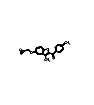 Cc1ccc(C(=O)c2oc3ccc(OCC4CO4)cc3c2C)cc1